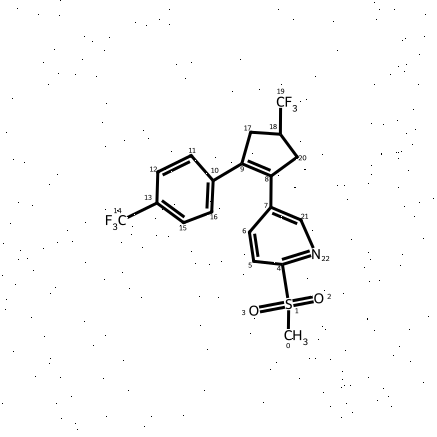 CS(=O)(=O)c1ccc(C2=C(c3ccc(C(F)(F)F)cc3)CC(C(F)(F)F)C2)cn1